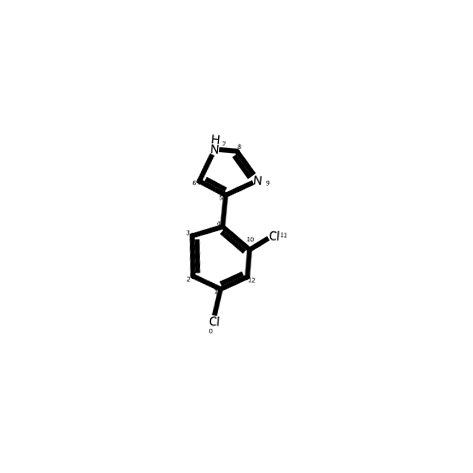 Clc1ccc(-c2[c][nH][c]n2)c(Cl)c1